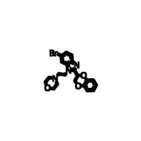 Brc1ccc2nc(C3COc4ccccc4O3)n(CCN3CCOCC3)c2c1